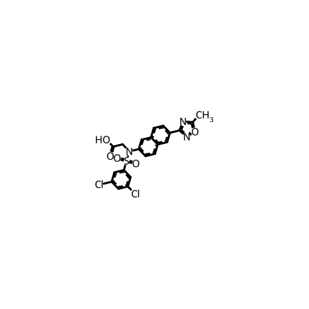 Cc1nc(-c2ccc3cc(N(CC(=O)O)S(=O)(=O)c4cc(Cl)cc(Cl)c4)ccc3c2)no1